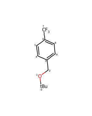 CC(C)(C)OCc1ccc(C(F)(F)F)cc1